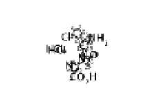 Cl.Cl.NC[C@]1(c2cccc(Cl)c2)CC[C@H](n2nc(-c3cncc(C(=O)O)c3)ccc2=O)CC1